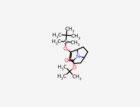 CC(C)(C)OC(=O)N1C2CCC=C(O[Si](C)(C)C(C)(C)C)C1CC2